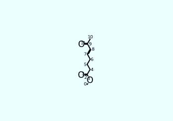 COC(=O)CCC/C=C/C(C)=O